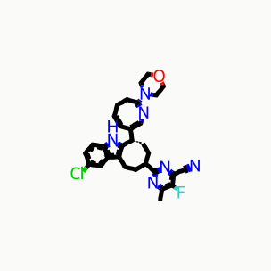 Cc1nc(C2CCc3c([nH]c4ccc(Cl)cc34)[C@H](C3=C/N=C(/N4CCOCC4)CC/C=C\3)CC2)nc(C#N)c1F